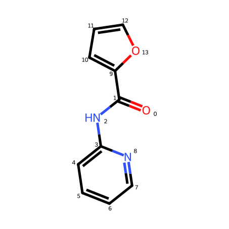 O=C(Nc1ccccn1)c1ccco1